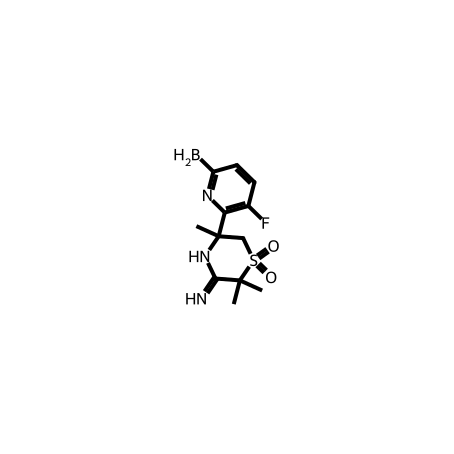 Bc1ccc(F)c(C2(C)CS(=O)(=O)C(C)(C)C(=N)N2)n1